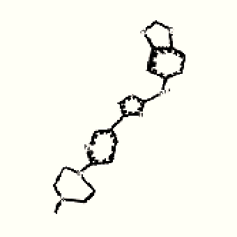 CN1CCN(c2ccc(-c3csc(Nc4ccc5c(c4)OCO5)n3)cn2)CC1